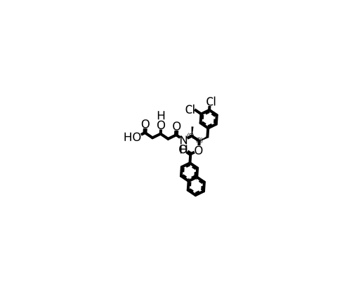 C[C@H](NC(=O)CC(O)CC(=O)O)[C@@H](Cc1ccc(Cl)c(Cl)c1)OC(=O)c1ccc2ccccc2c1